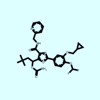 CC(C)(C)CC(OC(N)=O)c1oc(-c2ccc(OC(F)F)c(OCC3CC3)c2)nc1C(=O)NCc1ccccn1